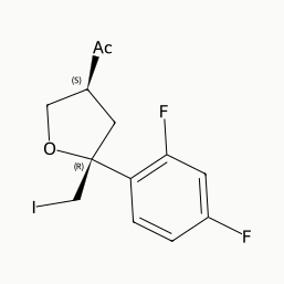 CC(=O)[C@@H]1CO[C@@](CI)(c2ccc(F)cc2F)C1